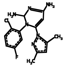 Cc1cc(C)n(C2=CC(N)=NC(N)N2c2cc(F)ccc2Cl)n1